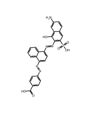 Nc1ccc2cc(S(=O)(=O)O)c(N=Nc3ccc(N=Nc4ccc(C(=O)O)cc4)c4ccccc34)c(O)c2c1